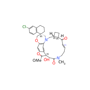 COC(=O)[C@]1(O)CC(=O)N(C)CC/C=C/C(=O)[C@@H]2CC[C@H]2CN2C[C@]3(CCCc4cc(Cl)ccc43)COc3ccc1cc32